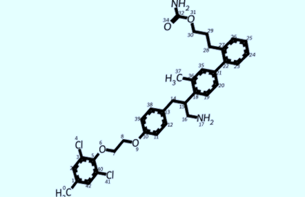 Cc1cc(Cl)c(OCCOc2ccc(CC(CN)c3ccc(-c4ccccc4CCCOC(N)=O)cc3C)cc2)c(Cl)c1